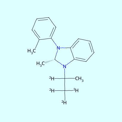 [2H]C([2H])([2H])C([2H])(C)N1c2ccccc2N(c2ccccc2C)[C@H]1C